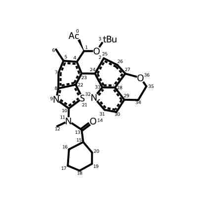 CC(=O)[C@@H](OC(C)(C)C)c1c(C)cc2nc(N(C)C(=O)C3CCCCC3)sc2c1-c1ccc2c3c(ccnc13)CCO2